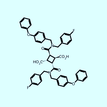 O=C(O)[C@H]1[C@H](C(=O)N(Cc2ccc(F)cc2)Cc2ccc(Oc3ccccc3)cc2)[C@H](C(=O)O)[C@H]1C(=O)N(Cc1ccc(F)cc1)Cc1ccc(Oc2ccccc2)cc1